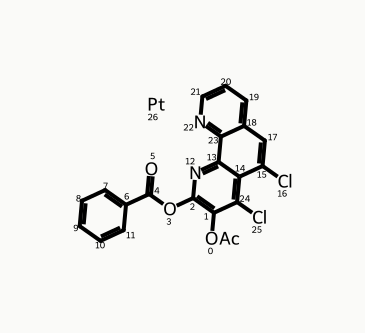 CC(=O)Oc1c(OC(=O)c2ccccc2)nc2c(c(Cl)cc3cccnc32)c1Cl.[Pt]